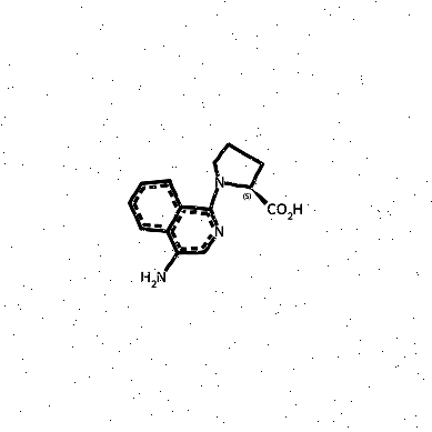 Nc1cnc(N2CCC[C@H]2C(=O)O)c2ccccc12